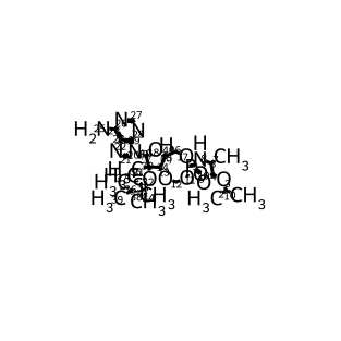 CC(C)OC(=O)C(C)NP1(=O)OCOC2[C@@H](CO1)O[C@@H](n1cnc3c(N)ncnc31)C2(C)O[Si](C)(C)C(C)(C)C